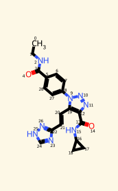 CCNC(=O)c1ccc(-n2nnc(C(=O)NC3CC3)c2C=Cc2nc[nH]n2)cc1